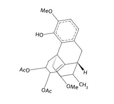 COC1=C2[C@@H]3Cc4ccc(OC)c(O)c4[C@]2(CCC3C)CC(OC(C)=O)C1OC(C)=O